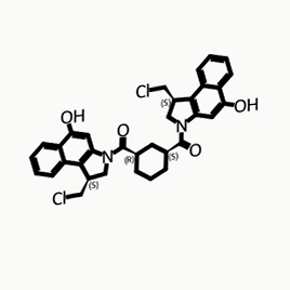 O=C([C@@H]1CCC[C@H](C(=O)N2C[C@@H](CCl)c3c2cc(O)c2ccccc32)C1)N1C[C@@H](CCl)c2c1cc(O)c1ccccc21